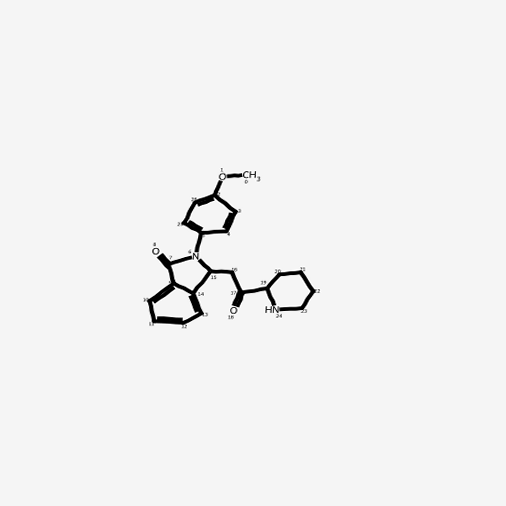 COc1ccc(N2C(=O)c3ccccc3C2CC(=O)C2CCCCN2)cc1